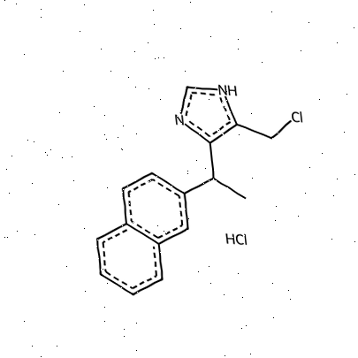 CC(c1ccc2ccccc2c1)c1nc[nH]c1CCl.Cl